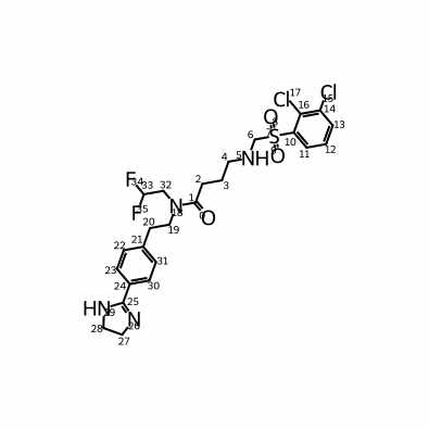 O=C(CCCNCS(=O)(=O)c1cccc(Cl)c1Cl)N(CCc1ccc(C2=NCCN2)cc1)CC(F)F